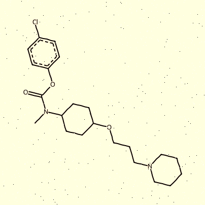 CN(C(=O)Oc1ccc(Cl)cc1)C1CCC(OCCCN2CCCCC2)CC1